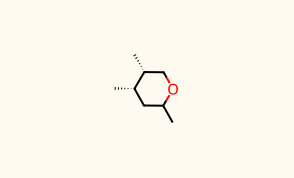 CC1C[C@H](C)[C@H](C)CO1